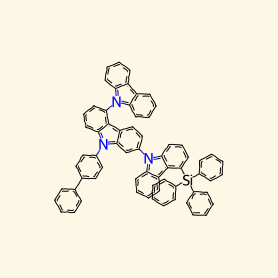 c1ccc(-c2ccc(-n3c4cc(-n5c6ccccc6c6c([Si](c7ccccc7)(c7ccccc7)c7ccccc7)cccc65)ccc4c4c(-n5c6ccccc6c6ccccc65)cccc43)cc2)cc1